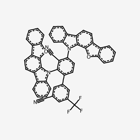 N#Cc1cc(-c2ccc(-n3c4ccccc4c4ccc5c6ccccc6oc5c43)c(C#N)c2-n2c3ccccc3c3ccc4c5ccccc5oc4c32)cc(C(F)(F)F)c1